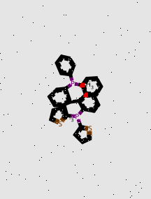 Cc1cccc(P(c2ccccc2)c2ccccc2)c1-c1c(C)cccc1P(c1cccs1)c1cccs1